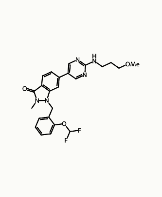 COCCCNc1ncc(-c2ccc3c(=O)n(C)n(Cc4ccccc4OC(F)F)c3c2)cn1